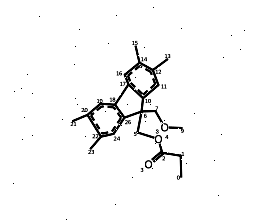 CCC(=O)OCC1(COC)c2cc(C)c(C)cc2-c2cc(C)c(C)cc21